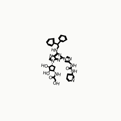 O=C(CO)N[C@H]1C[C@@H](n2cnc3c(NCC(c4ccccc4)c4ccccc4)nc(-n4cnc(NC(=O)Nc5cccnc5)c4)nc32)[C@H](O)[C@@H]1O